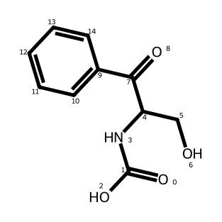 O=C(O)NC(CO)C(=O)c1ccccc1